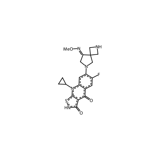 CON=C1CN(c2cc3c(cc2F)c(=O)c2c(=O)[nH]sc2n3C2CC2)CC12CNC2